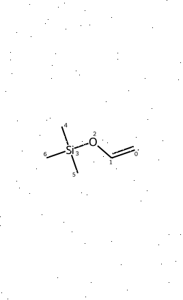 [CH]=CO[Si](C)(C)C